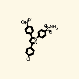 NS(=O)(=O)c1ccc(-n2nc(-c3ccc(Cl)cc3)cc2-c2ccc([N+](=O)[O-])cc2)cc1